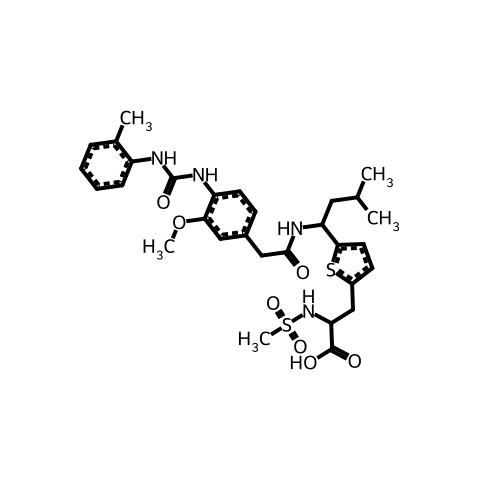 COc1cc(CC(=O)NC(CC(C)C)c2ccc(CC(NS(C)(=O)=O)C(=O)O)s2)ccc1NC(=O)Nc1ccccc1C